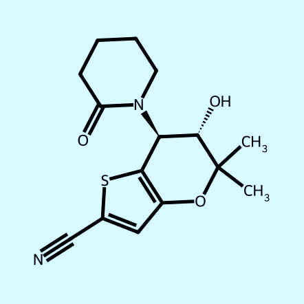 CC1(C)Oc2cc(C#N)sc2[C@@H](N2CCCCC2=O)[C@@H]1O